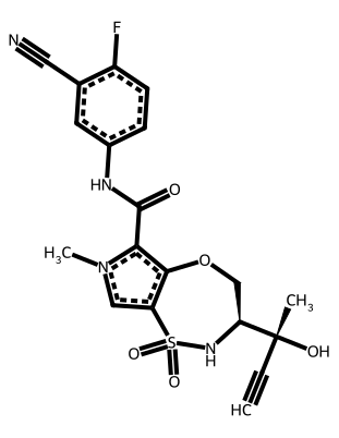 C#C[C@@](C)(O)[C@@H]1COc2c(cn(C)c2C(=O)Nc2ccc(F)c(C#N)c2)S(=O)(=O)N1